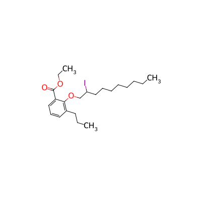 CCCCCCCCC(I)COc1c(CCC)cccc1C(=O)OCC